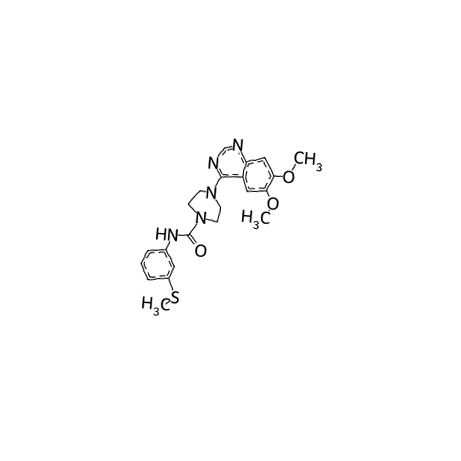 COc1cc2ncnc(N3CCN(C(=O)Nc4cccc(SC)c4)CC3)c2cc1OC